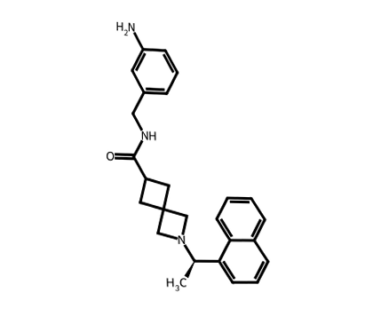 C[C@H](c1cccc2ccccc12)N1CC2(CC(C(=O)NCc3cccc(N)c3)C2)C1